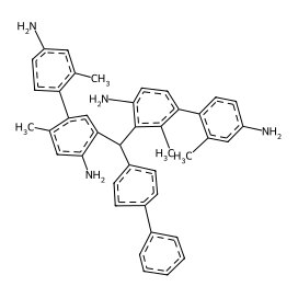 Cc1cc(N)ccc1-c1cc(C(c2ccc(-c3ccccc3)cc2)c2c(N)ccc(-c3ccc(N)cc3C)c2C)c(N)cc1C